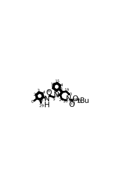 Cc1cccc(NC(=O)Cn2c3c(c4ccccc42)CCN(C(=O)OC(C)(C)C)CC3)c1C